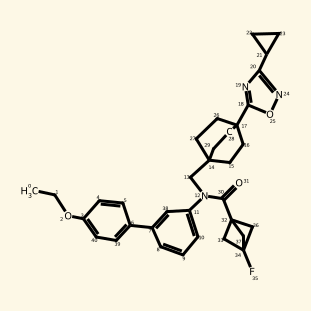 CCOc1ccc(-c2cccc(N(CC34CCC(c5nc(C6CC6)no5)(CC3)CC4)C(=O)C34CC(F)(C3)C4)c2)cc1